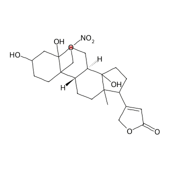 CC12CC[C@H]3[C@@H](CCC4(O)CC(O)CCC34CO[N+](=O)[O-])C1(O)CCC2C1=CC(=O)OC1